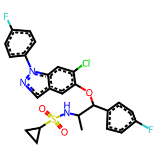 CC(NS(=O)(=O)C1CC1)C(Oc1cc2cnn(-c3ccc(F)cc3)c2cc1Cl)c1ccc(F)cc1